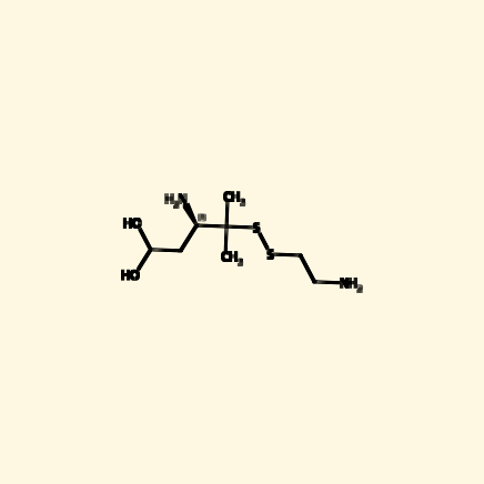 CC(C)(SSCCN)[C@H](N)CC(O)O